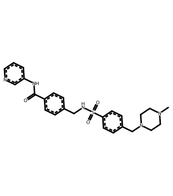 CN1CCN(Cc2ccc(S(=O)(=O)NCc3ccc(C(=O)Nc4cccnc4)cc3)cc2)CC1